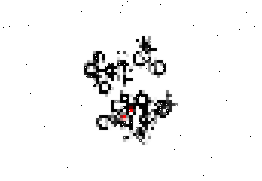 CCN(C(=O)c1cc(-c2c(OCC(F)(F)F)cccc2OCC(F)(F)F)n(C2CCCC2)n1)C(CCN1CCCCC1)CC(=O)NC1CCC1.COc1cccc(OC)c1-c1cc(C(=O)NC(CCN2CCCCC2)Cc2nnc(C)o2)nn1C1CCCC1